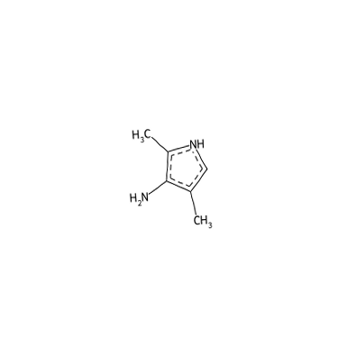 Cc1c[nH]c(C)c1N